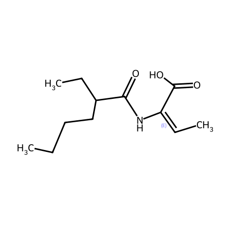 C/C=C(/NC(=O)C(CC)CCCC)C(=O)O